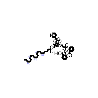 CC/C=C\C/C=C\C/C=C\C/C=C\C/C=C\CCCC(=O)OCC(C)(C)[C@@H](OC(=O)c1cccnc1)C(=O)NCCC(=O)Oc1ccccc1C(=O)Oc1ccccc1C(=O)O